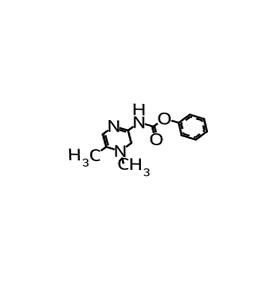 CC1=CN=C(NC(=O)Oc2ccccc2)CN1C